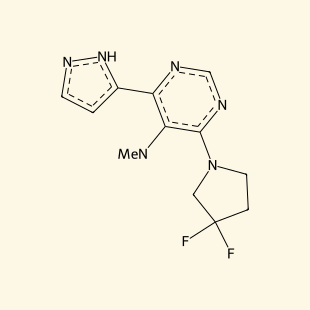 CNc1c(-c2ccn[nH]2)ncnc1N1CCC(F)(F)C1